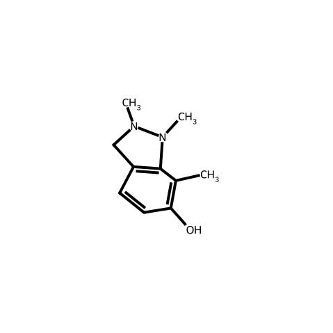 Cc1c(O)ccc2c1N(C)N(C)C2